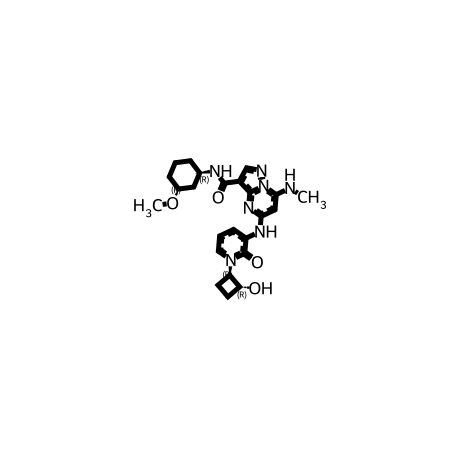 CNc1cc(Nc2cccn([C@@H]3CC[C@H]3O)c2=O)nc2c(C(=O)N[C@@H]3CCC[C@@H](OC)C3)cnn12